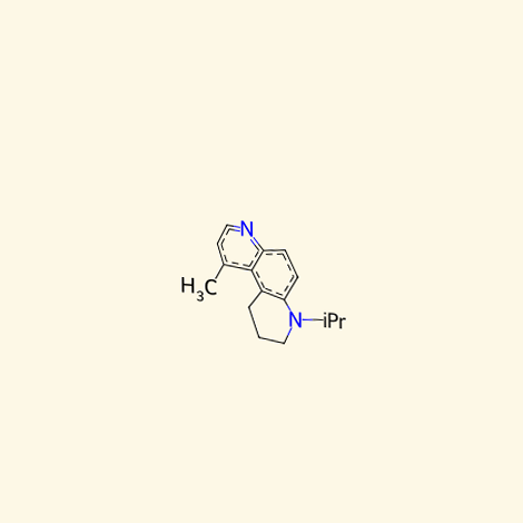 Cc1ccnc2ccc3c(c12)CCCN3C(C)C